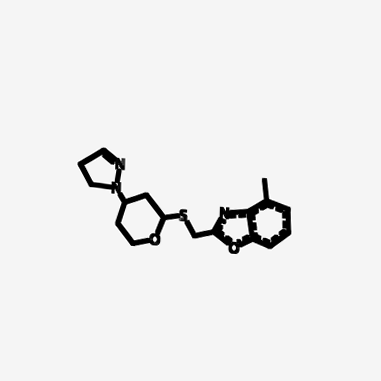 Cc1cccc2oc(CSC3CC(N4CCC=N4)CCO3)nc12